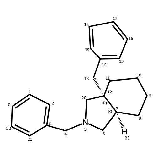 c1ccc(CN2C[C@@H]3CCCC[C@]3(Cc3ccccc3)C2)cc1